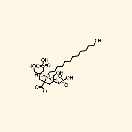 CCCCCCCCCCCCC[N+](C)(C)C(CC(CO)CS(=O)(=O)O)(CC(CO)CS(=O)(=O)O)C(=O)[O-]